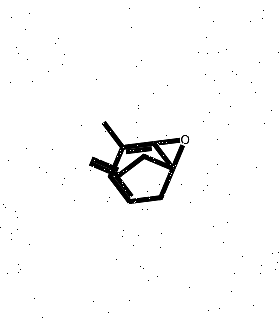 C=CCC12CC=CC(C)=C1O2